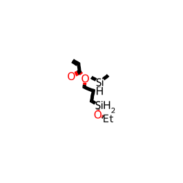 C=CC(=O)OCCC[SiH2]OCC.C[SiH](C)C